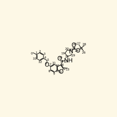 Cc1ccc(COc2ccc3oc(C)c(C(=O)N[C@@H]4CCN(C(=O)OC(C)(C)C)C4)c3c2)cc1